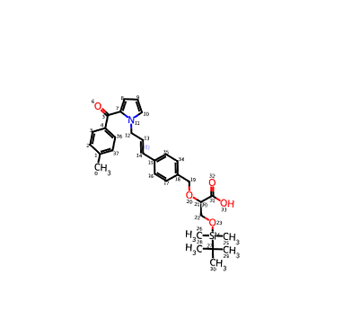 Cc1ccc(C(=O)c2cccn2C/C=C/c2ccc(CO[C@H](CO[Si](C)(C)C(C)(C)C)C(=O)O)cc2)cc1